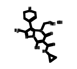 CC(C)Cn1c(=O)c(C(=O)NC2CC2)c(O)n2nc(N)c(C3=CCNCC3)c12.Cl.Cl